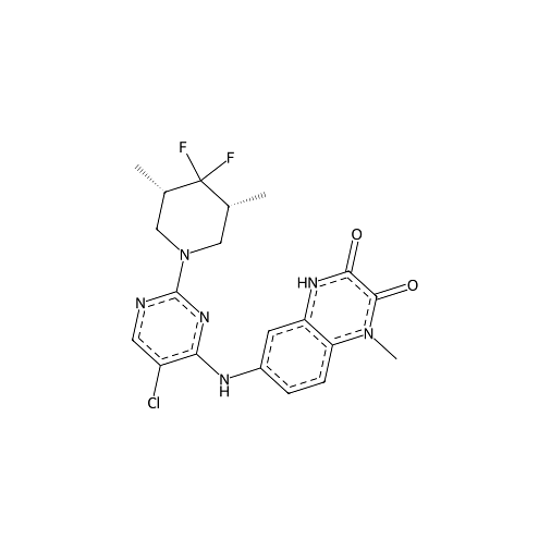 C[C@@H]1CN(c2ncc(Cl)c(Nc3ccc4c(c3)[nH]c(=O)c(=O)n4C)n2)C[C@H](C)C1(F)F